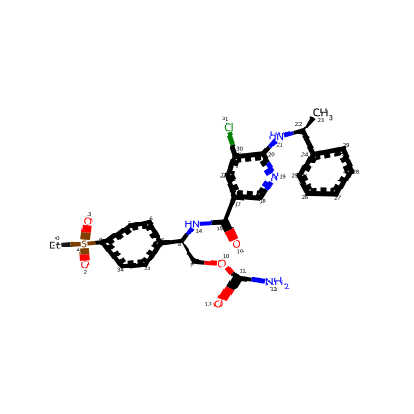 CCS(=O)(=O)c1ccc([C@H](COC(N)=O)NC(=O)c2cnc(N[C@@H](C)c3ccccc3)c(Cl)c2)cc1